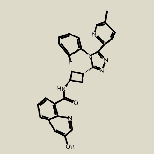 Cc1ccc(-c2nnc([C@H]3C[C@H](NC(=O)c4cccc5cc(O)cnc45)C3)n2-c2ccccc2F)nc1